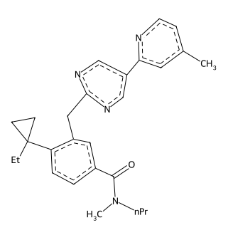 CCCN(C)C(=O)c1ccc(C2(CC)CC2)c(Cc2ncc(-c3cc(C)ccn3)cn2)c1